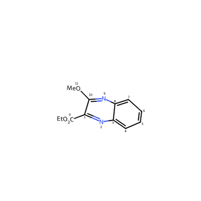 CCOC(=O)c1nc2ccccc2nc1OC